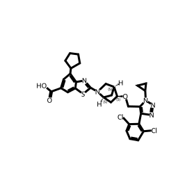 O=C(O)c1cc(C2CCCC2)c2nc(N3C[C@@H]4C[C@H]3C[C@@H]4OCc3c(-c4c(Cl)cccc4Cl)nnn3C3CC3)sc2c1